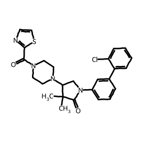 CC1(C)C(=O)N(c2cccc(-c3ccccc3Cl)c2)CC1N1CCN(C(=O)c2nccs2)CC1